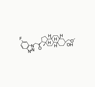 COC[C@@]1(O)CC[C@H]2[C@H](CC[C@@H]3[C@@H]2CC[C@]2(C)[C@@H](C(=O)Cn4nnc5ccc(F)cc54)CC[C@@H]32)C1